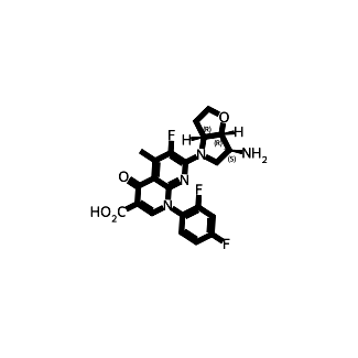 Cc1c(F)c(N2C[C@H](N)[C@H]3OCC[C@H]32)nc2c1c(=O)c(C(=O)O)cn2-c1ccc(F)cc1F